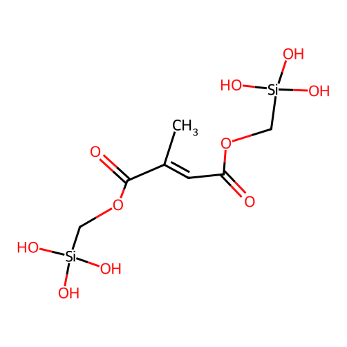 C/C(=C\C(=O)OC[Si](O)(O)O)C(=O)OC[Si](O)(O)O